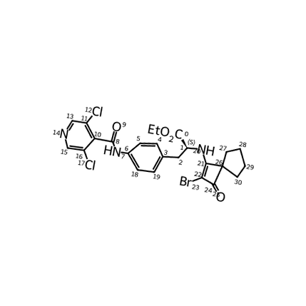 CCOC(=O)[C@H](Cc1ccc(NC(=O)c2c(Cl)cncc2Cl)cc1)NC1=C(Br)C(=O)C12CCCC2